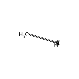 CCCCCCCCCCCCCCCCCC[Si](F)(F)F